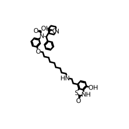 O=C(O)N(c1cccc(OCCCCCCCCCNCCc2ccc(O)c3[nH]c(=O)sc23)c1)[C@@H](c1ccccc1)C1CN2CCC1CC2